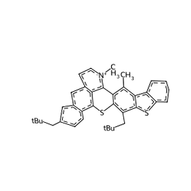 Cc1c2c(c(CC(C)(C)C)c3sc4ccccc4c13)Sc1c3ccc(CC(C)(C)C)cc3cc3cc[n+](C)c-2c13